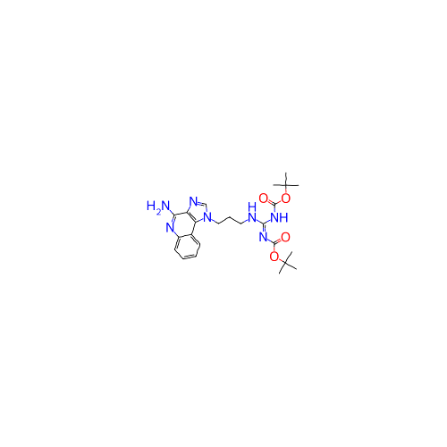 CC(C)(C)OC(=O)N=C(NCCCn1cnc2c(N)nc3ccccc3c21)NC(=O)OC(C)(C)C